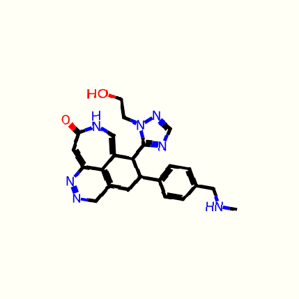 CNCc1ccc(C2CC3=C4C(=CC(=O)NC=C4C2c2ncnn2CCO)N=NC3)cc1